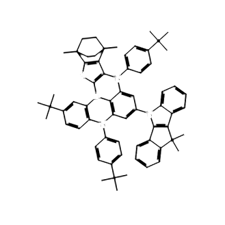 CC(C)(C)c1ccc(N2c3ccc(C(C)(C)C)cc3B3c4sc5c(c4N(c4ccc(C(C)(C)C)cc4)c4cc(-n6c7c(c8ccccc86)C(C)(C)c6ccccc6-7)cc2c43)C2(C)CCC5(C)CC2)cc1